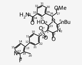 CCCCc1nc(=O)c(S(=O)(=O)c2ccc(-c3ccnc(F)c3C)cc2)c(O)n1C(COC)c1cccc(C(N)=O)c1